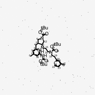 Cc1cc(CC2CN(C(=O)OC(C)(C)C)CC2NCCN(CCc2cccc(F)c2)C(=O)OC(C)(C)C)nc(NC(=O)OC(C)(C)C)c1